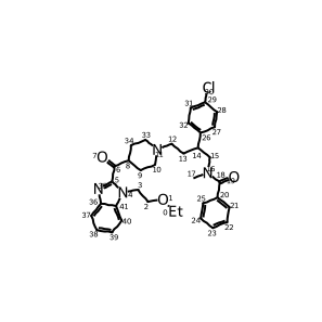 CCOCCn1c(C(=O)C2CCN(CCC(CN(C)C(=O)c3ccccc3)c3ccc(Cl)cc3)CC2)nc2ccccc21